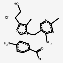 Cc1ncc(C[n+]2csc(CCO)c2C)c(N)n1.Nc1ccc(C(=O)O)cc1.[Cl-]